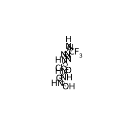 O=C(NCCNC(=O)[C@@H]1C[C@@H](O)CN1)c1ccc(Nc2nccn3c(-c4c[nH]nc4C(F)(F)F)cnc23)cc1Cl